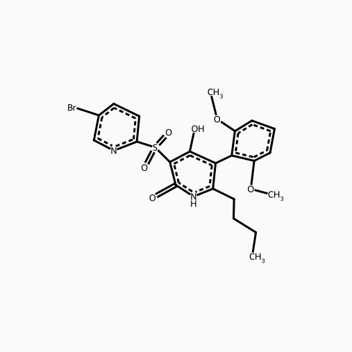 CCCCc1[nH]c(=O)c(S(=O)(=O)c2ccc(Br)cn2)c(O)c1-c1c(OC)cccc1OC